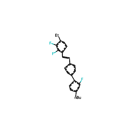 CCCCc1ccc(-c2ccc(/C=C/c3ccc(CC)c(F)c3F)cc2)c(F)c1